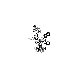 CC(C)(O)C1=CNNN1[C@H]1C[C@@H](C(=O)NC(CCCCNC(=O)NC2CC2)CC(N)=O)N(C(=O)[C@@H](CC2CCCCC2)NC(=O)c2ccc3ccccc3c2)C1